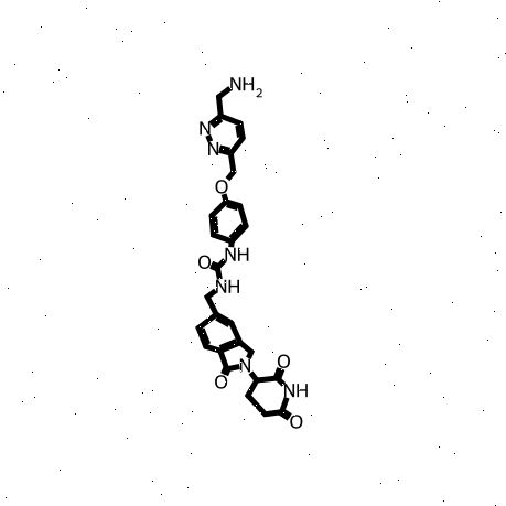 NCc1ccc(COc2ccc(NC(=O)NCc3ccc4c(c3)CN(C3CCC(=O)NC3=O)C4=O)cc2)nn1